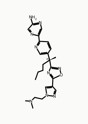 CCCC[C@](C)(c1ccc(-c2cnc(N)cn2)nc1)c1noc(-c2cnn(CCN(C)C)c2)n1